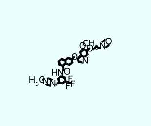 COc1cc2c(Oc3ccc4c(C(=O)Nc5cc(CN6CCN(C)CC6)cc(C(F)(F)F)c5)cccc4c3)ccnc2cc1OCCCN1CCOCC1